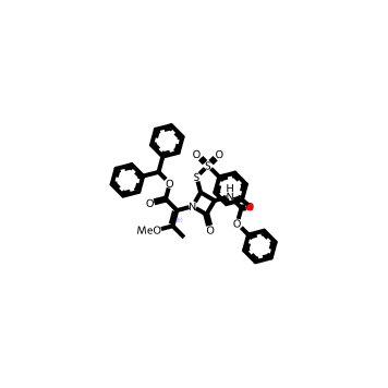 CO/C(C)=C(\C(=O)OC(c1ccccc1)c1ccccc1)N1C(=O)C(NC(=O)Oc2ccccc2)C1SS(=O)(=O)c1ccc(C)cc1